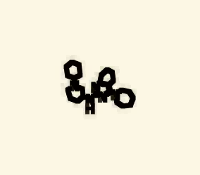 C1CCC(N2CCC[C@H](Nc3nc4c(c(N5CCCCCC5)n3)CCCC4)C2)CC1